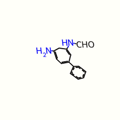 NC1=CC=C(c2ccccc2)C=C(NC=O)C1